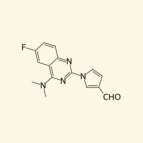 CN(C)c1nc(-n2ccc(C=O)c2)nc2ccc(F)cc12